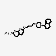 COC1=Nc2nc(OCCCCN3CCN(c4cccc5ccccc45)CC3)ccc2CC1